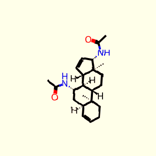 CC(=O)N[C@H]1C[C@@H]2C=CCC[C@]2(C)[C@H]2CC[C@]3(C)[C@@H](NC(C)=O)C=C[C@H]3[C@H]12